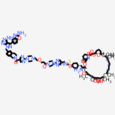 CO[C@H]1C[C@@H]2CCC[C@@](O)(O2)C(=O)C(=O)N2CCCC[C@H]2C(=O)O[C@H]([C@H](N)C[C@H]2CC[C@H](OC(=S)NCc3cnc(N4CCN(C(=O)CCOCCN5CCN(c6ncc(C(=O)N7CCc8cc(Cn9nc(-c%10ccc%11oc(N)nc%11c%10)c%10c(N)ncnc%109)ccc8C7)cn6)CC5)CC4)nc3)CC2)CC(=O)[C@H](C)/C=C(\C)[C@@H](O)[C@@H](O)C(=O)[C@H](C)C[C@H](C)/C=C/C=C/C=C/1C